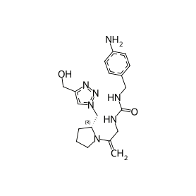 C=C(CNC(=O)NCc1ccc(N)cc1)N1CCC[C@@H]1Cn1cc(CO)nn1